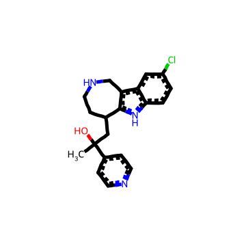 CC(O)(CC1CCNCc2c1[nH]c1ccc(Cl)cc21)c1ccncc1